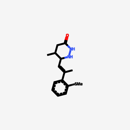 CSc1ccccc1/C(C)=C/C1NNC(=O)CC1C